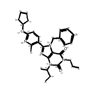 CCCn1c(=O)c2c(nc(-c3ccc(OC4CCCC4)nc3C)n2Cc2ccccc2)n(C(C)CC)c1=O